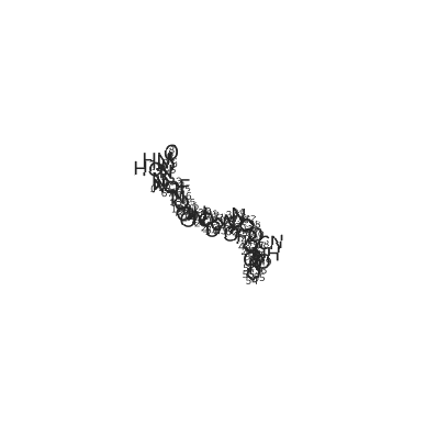 Cn1nc(N2CCC(=O)NC2O)c2cc(F)c(N3CCC(O)(CC(=O)N4CCC5(CC4)C[C@@H](n4cnc6ccc(Oc7c(F)ccc(NS(=O)(=O)N8CCCCC8)c7C#N)cc6c4=O)CO5)CC3)cc21